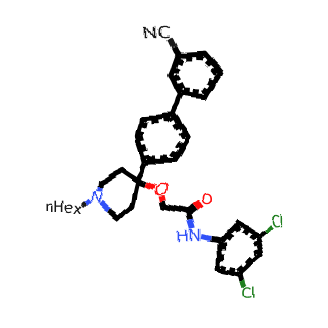 CCCCCCN1CCC(OCC(=O)Nc2cc(Cl)cc(Cl)c2)(c2ccc(-c3cccc(C#N)c3)cc2)CC1